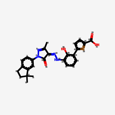 CC1=NN(c2ccc3c(c2)C(C)(C)CC3)C(=O)C1=NNc1cccc(-c2ccc(C(=O)O)s2)c1O